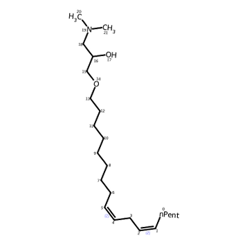 CCCCC/C=C\C/C=C\CCCCCCCCOCC(O)CN(C)C